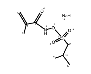 C=C(C)C(=O)NOS(=O)(=O)CC(C)C.[NaH]